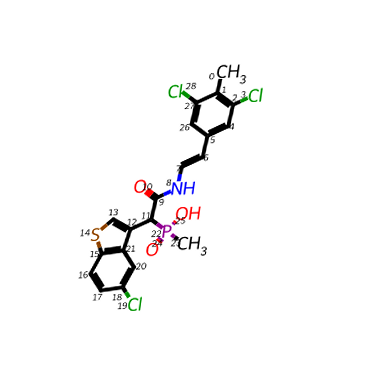 Cc1c(Cl)cc(/C=C/NC(=O)C(c2csc3ccc(Cl)cc23)P(C)(=O)O)cc1Cl